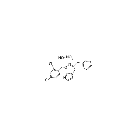 Clc1ccc(CON=C(Cc2ccccc2)Cn2ccnc2)c(Cl)c1.O=[N+]([O-])O